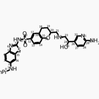 CCCNc1ccc2nc(NS(=O)(=O)c3ccc4c(c3)CCC(CNCC(O)c3ccc(N)nc3)O4)sc2c1